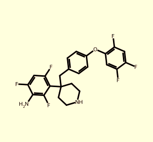 Nc1c(F)cc(F)c(C2(Cc3ccc(Oc4cc(F)c(F)cc4F)cc3)CCNCC2)c1F